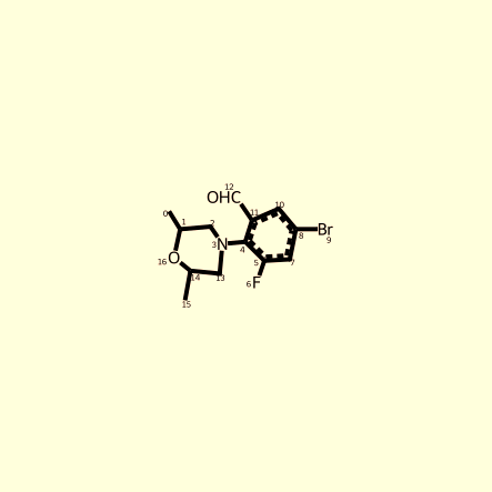 CC1CN(c2c(F)cc(Br)cc2C=O)CC(C)O1